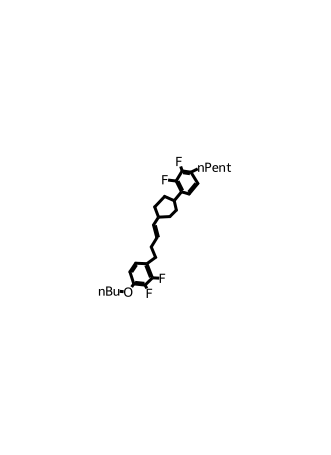 CCCCCc1ccc(C2CCC(/C=C/CCc3ccc(OCCCC)c(F)c3F)CC2)c(F)c1F